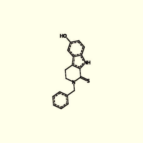 Oc1ccc2[nH]c3c(c2c1)CCN(Cc1ccccc1)C3=S